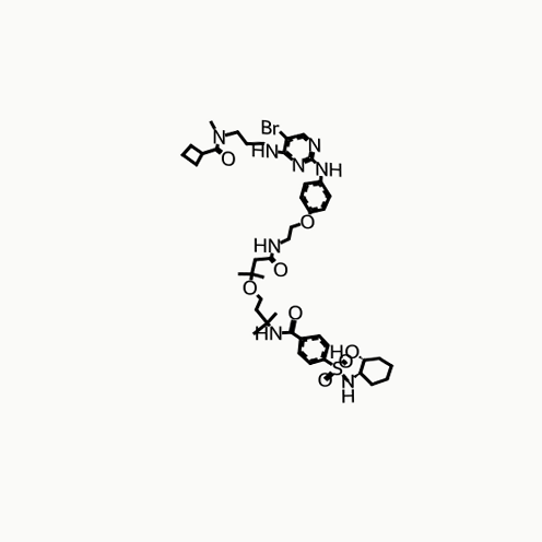 CN(CCCNc1nc(Nc2ccc(OCCNC(=O)CC(C)(C)OCCC(C)(C)NC(=O)c3ccc(S(=O)(=O)N[C@@H]4CCCC[C@H]4O)cc3)cc2)ncc1Br)C(=O)C1CCC1